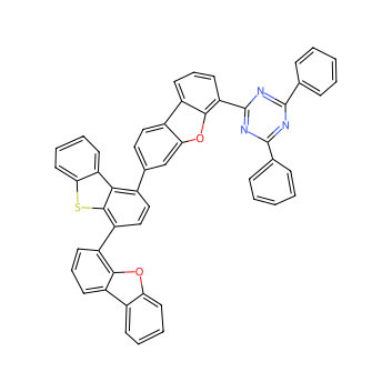 c1ccc(-c2nc(-c3ccccc3)nc(-c3cccc4c3oc3cc(-c5ccc(-c6cccc7c6oc6ccccc67)c6sc7ccccc7c56)ccc34)n2)cc1